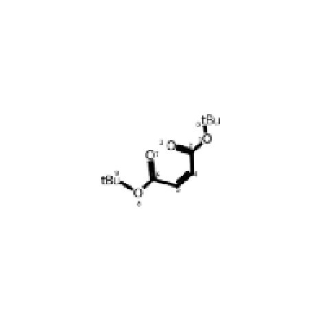 CC(C)(C)OC(=O)/C=C\C(=O)OC(C)(C)C